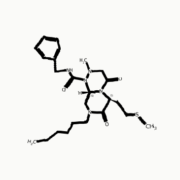 CCCCCCN1C[C@H]2N(C(=O)CN(C)N2C(=O)NCc2ccccc2)[C@@H](CCSC)C1=O